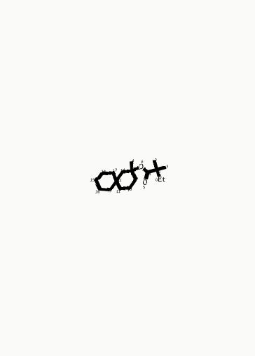 CCC(C)(C)C(=O)OC1(C)CCCC2(CCCCC2)C1